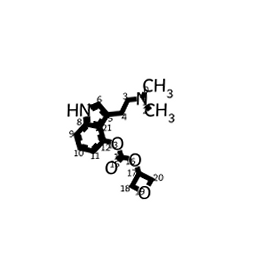 CN(C)CCc1c[nH]c2cccc(OC(=O)OC3COC3)c12